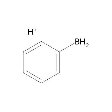 Bc1ccccc1.[H+]